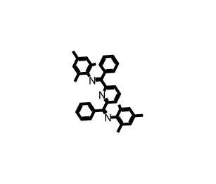 Cc1cc(C)c(N=C(c2ccccc2)c2cccc(C(=Nc3c(C)cc(C)cc3C)c3ccccc3)n2)c(C)c1